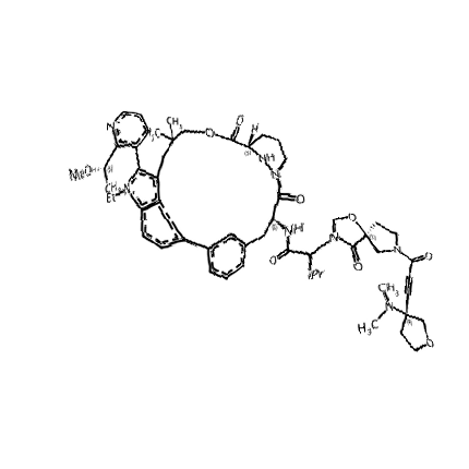 CCn1c(-c2cccnc2[C@H](C)OC)c2c3cc(ccc31)-c1cccc(c1)C[C@H](NC(=O)C(C(C)C)N1CO[C@]3(CCN(C(=O)C#C[C@]4(N(C)C)CCOC4)C3)C1=O)C(=O)N1CCC[C@H](N1)C(=O)OCC(C)(C)C2